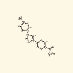 COC(=O)c1ccc(-c2ncc(-c3ccc(C(C)(C)C)cc3)o2)cc1